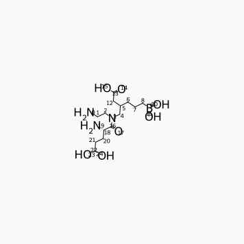 NCCN(CC(CCCB(O)O)CC(=O)O)C(=O)[C@@H](N)CCC(O)O